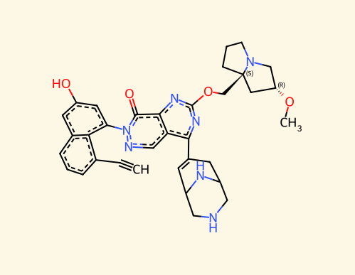 C#Cc1cccc2cc(O)cc(-n3ncc4c(C5=CC6CNCC(C5)N6)nc(OC[C@@]56CCCN5C[C@H](OC)C6)nc4c3=O)c12